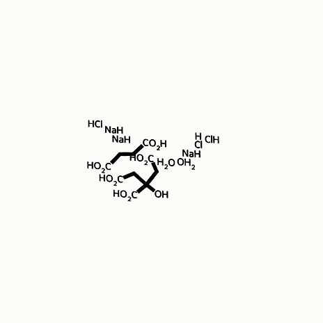 Cl.Cl.Cl.O.O.O=C(O)CC(O)(CC(=O)O)C(=O)O.O=C(O)CCC(=O)O.[NaH].[NaH].[NaH]